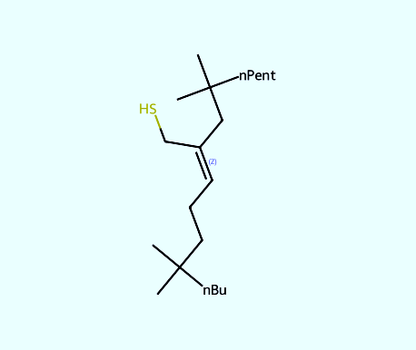 CCCCCC(C)(C)C/C(=C/CCC(C)(C)CCCC)CS